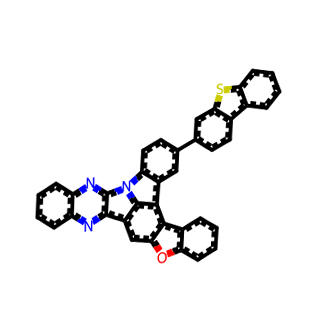 c1ccc2nc3c(nc2c1)c1cc2oc4ccccc4c2c2c4cc(-c5ccc6c(c5)sc5ccccc56)ccc4n3c12